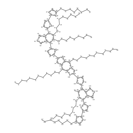 CCCCCCCCCCCCc1c2cc(-c3ccc(-c4c(OCCCCCCCC)c(OCCCCCCCC)c(-c5ccc(-c6ccc(CCCCCCCC)s6)s5)c5nsnc45)s3)sc2c(CCCCCCCCCCCC)c2cc(-c3ccc(-c4c(C)c(OCCCCCCCC)c(-c5ccc(-c6ccc(CCCCCCCC)s6)s5)c5nsnc45)s3)sc12